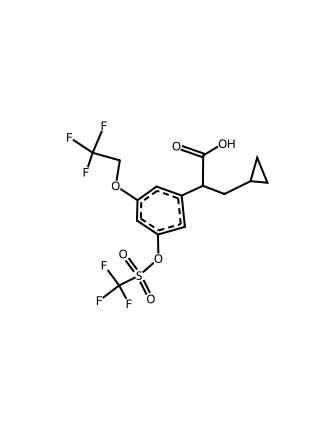 O=C(O)C(CC1CC1)c1cc(OCC(F)(F)F)cc(OS(=O)(=O)C(F)(F)F)c1